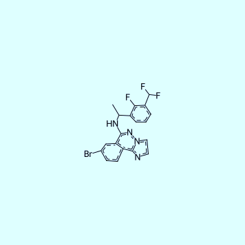 CC(Nc1nn2ccnc2c2ccc(Br)cc12)c1cccc(C(F)F)c1F